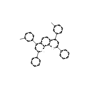 Cc1cccc(-c2cc(-c3ccccc3)nc3c2ccc2c(-c4cccc(C)c4)cc(-c4ccccc4)nc23)c1